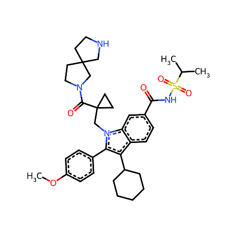 COc1ccc(-c2c(C3CCCCC3)c3ccc(C(=O)NS(=O)(=O)C(C)C)cc3n2CC2(C(=O)N3CCC4(CCNC4)C3)CC2)cc1